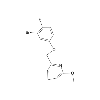 COc1cccc(COc2ccc(F)c(Br)c2)n1